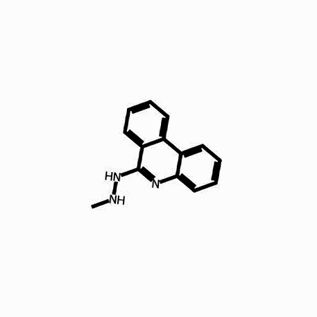 CNNc1nc2ccccc2c2ccccc12